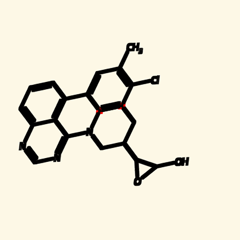 Cc1cc(-c2cccc3ncnc(N4CCCC(C5OC5O)C4)c23)ccc1Cl